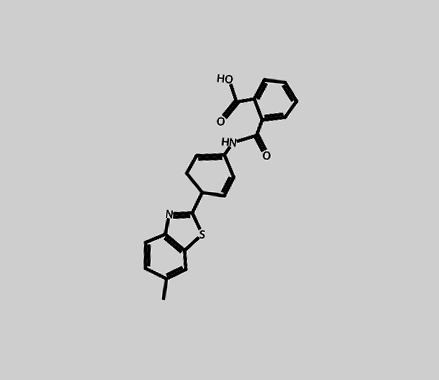 Cc1ccc2nc(C3C=CC(NC(=O)c4ccccc4C(=O)O)=CC3)sc2c1